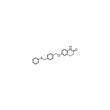 O=C1CCc2cc(OCc3ccc(CSc4ccccc4)cc3)ccc2N1